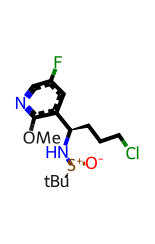 COc1ncc(F)cc1[C@@H](CCCCl)N[S@+]([O-])C(C)(C)C